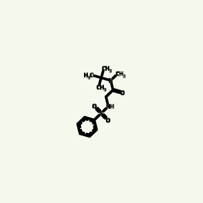 CN(C(=O)CNS(=O)(=O)c1ccccc1)C(C)(C)C